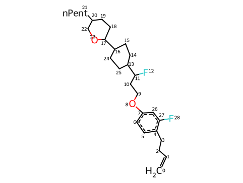 C=CCCc1ccc(OCCC(F)C2CCC(C3CCC(CCCCC)CO3)CC2)cc1F